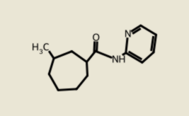 CC1CCCCC(C(=O)Nc2ccccn2)C1